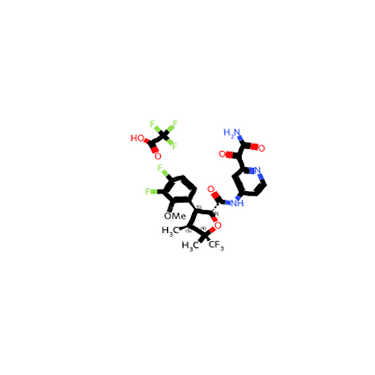 COc1c([C@H]2[C@H](C(=O)Nc3ccnc(C(=O)C(N)=O)c3)O[C@@](C)(C(F)(F)F)[C@H]2C)ccc(F)c1F.O=C(O)C(F)(F)F